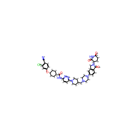 N#Cc1ccc(O[C@H]2CC[C@H](C(=O)Nc3ccc(N4CCC(CN5CCN(c6ccc7c(c6)CN(C6CCC(=O)NC6=O)C7=O)CC5)CC4)nn3)CC2)cc1Cl